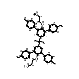 Cc1ccc(-c2cc(C(C)(C)c3cc(-c4ccc(C)cc4)c(OCCO)c(-c4ccc(C)cc4)c3)cc(-c3ccc(C)cc3)c2OCCO)cc1